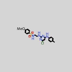 COc1ccc(S(=O)(=O)NCCNc2nc(Cl)cc(Nc3ccc(C)cc3)n2)cc1